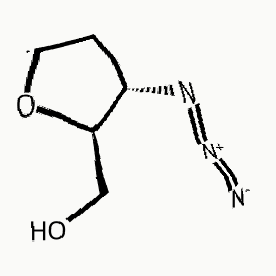 [N-]=[N+]=N[C@H]1C[CH]O[C@@H]1CO